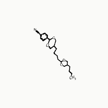 CCCCC1COC(CCCCC2COC(c3ccc(C#N)cc3)OC2)OC1